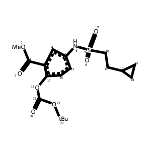 COC(=O)c1cc(NS(=O)(=O)CCC2CC2)ccc1OC(=O)OC(C)(C)C